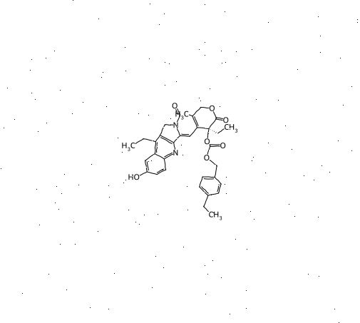 CCc1ccc(COC(=O)O[C@]2(CC)C(=O)OCC(C)=C2/C=C2/c3nc4ccc(O)cc4c(CC)c3CN2C=O)cc1